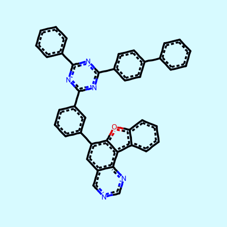 c1ccc(-c2ccc(-c3nc(-c4ccccc4)nc(-c4cccc(-c5cc6cncnc6c6c5oc5ccccc56)c4)n3)cc2)cc1